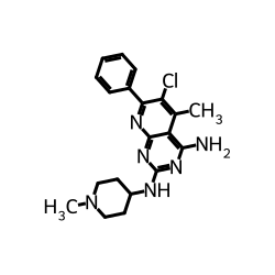 Cc1c(Cl)c(-c2ccccc2)nc2nc(NC3CCN(C)CC3)nc(N)c12